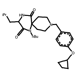 CCCCN1C(=O)C(CC(C)C)NC(=O)C12CCN(Cc1ccc(OC3CCC3)cc1)CC2